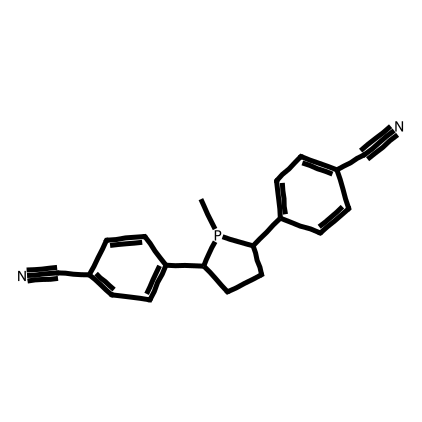 CP1C(c2ccc(C#N)cc2)CCC1c1ccc(C#N)cc1